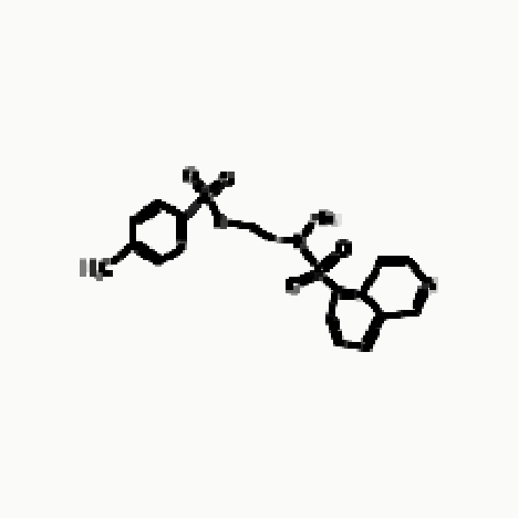 CCCCN(CCOS(=O)(=O)c1ccc(C)cc1)S(=O)(=O)c1cccc2cnccc12